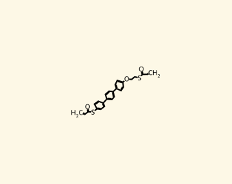 C=CC(=O)SCCOc1ccc(-c2ccc(-c3ccc(SC(=O)C=C)cc3)cc2)cc1